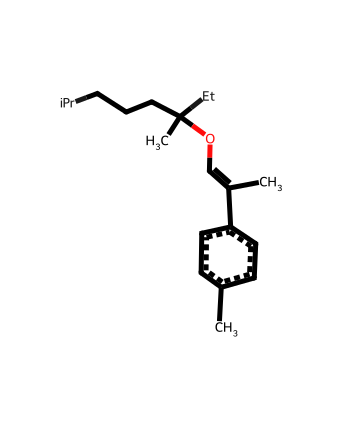 CCC(C)(CCCC(C)C)OC=C(C)c1ccc(C)cc1